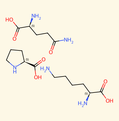 NC(=O)CC[C@H](N)C(=O)O.NCCCC[C@H](N)C(=O)O.O=C(O)[C@@H]1CCCN1